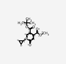 COC(=O)c1cc(=O)n(C2CC2)cc1C(=O)OC(C)(C)C